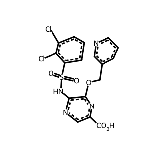 O=C(O)c1cnc(NS(=O)(=O)c2cccc(Cl)c2Cl)c(OCc2cccnc2)n1